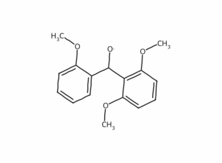 COc1ccccc1C([O])c1c(OC)cccc1OC